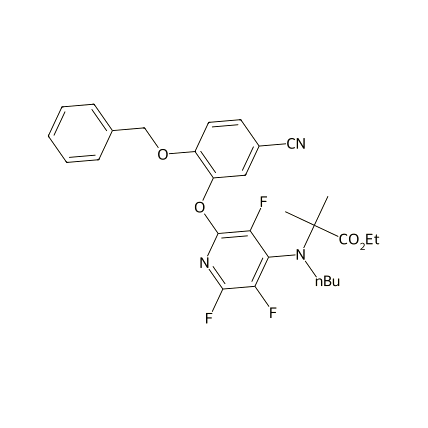 CCCCN(c1c(F)c(F)nc(Oc2cc(C#N)ccc2OCc2ccccc2)c1F)C(C)(C)C(=O)OCC